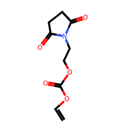 C=COC(=O)OCCN1C(=O)CCC1=O